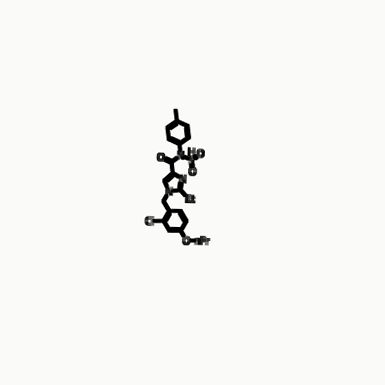 CCCOc1ccc(Cn2cc(C(=O)N(c3ccc(C)cc3)[SH](=O)=O)nc2CC)c(Cl)c1